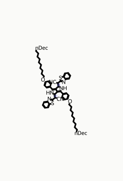 CCCCCCCCCCCCCCCCCCCCOc1ccc(-c2[nH]/c(=C(/C#N)c3nc4ccccc4s3)c3c(-c4ccc(OCCCCCCCCCCCCCCCCCCCC)cc4)[nH]/c(=C(/C#N)c4nc5ccccc5s4)c23)cc1